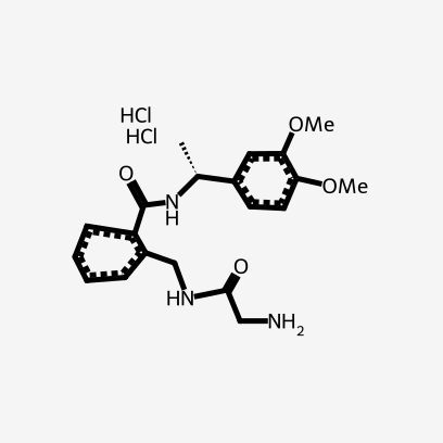 COc1ccc([C@@H](C)NC(=O)c2ccccc2CNC(=O)CN)cc1OC.Cl.Cl